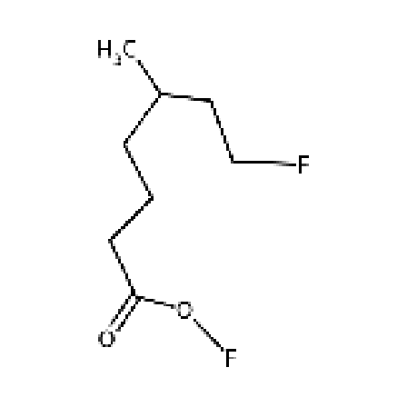 CC(CCF)CCCC(=O)OF